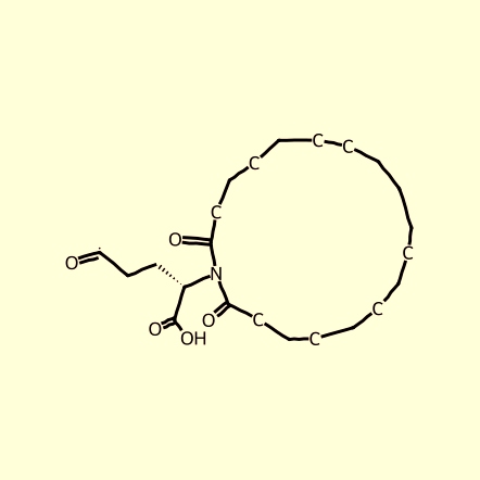 O=[C]CC[C@@H](C(=O)O)N1C(=O)CCCCCCCCCCCCCCCCC1=O